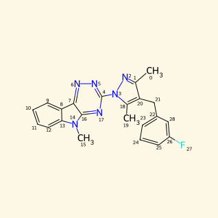 Cc1nn(-c2nnc3c4ccccc4n(C)c3n2)c(C)c1Cc1cccc(F)c1